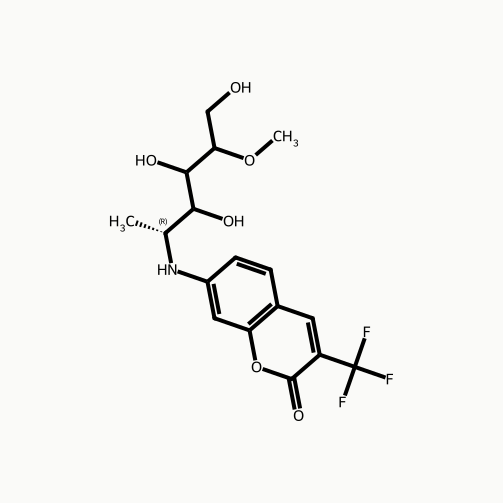 COC(CO)C(O)C(O)[C@@H](C)Nc1ccc2cc(C(F)(F)F)c(=O)oc2c1